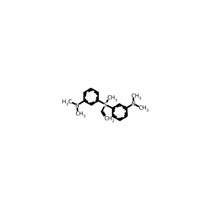 C=CS(C)(c1cccc(N(C)C)c1)c1cccc(N(C)C)c1